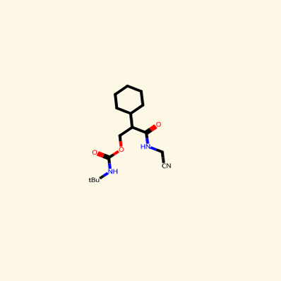 CC(C)(C)NC(=O)OCC(C(=O)NCC#N)C1CCCCC1